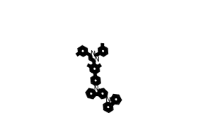 Cc1cccc(-c2cc(-c3c(C)cc(-c4ccc(-n5c6ccccc6c6cc(-n7c8ccccc8c8ccccc87)ccc65)cc4)cc3C)nc(-c3cccc(C)c3)n2)c1